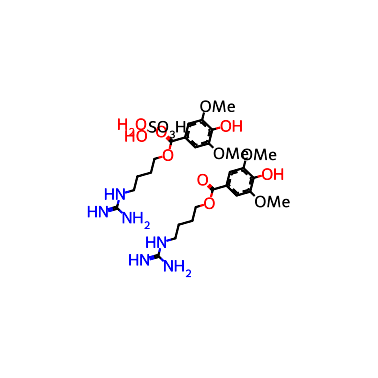 COc1cc(C(=O)OCCCCNC(=N)N)cc(OC)c1O.COc1cc(C(=O)OCCCCNC(=N)N)cc(OC)c1O.O.O=S(=O)(O)O